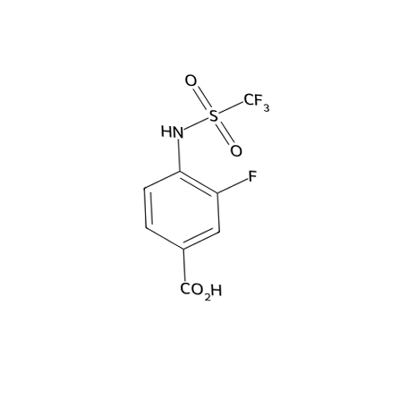 O=C(O)c1ccc(NS(=O)(=O)C(F)(F)F)c(F)c1